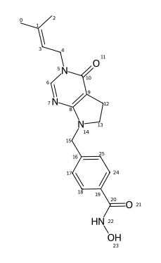 CC(C)=CCn1cnc2c(c1=O)CCN2Cc1ccc(C(=O)NO)cc1